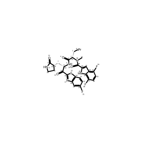 CC(C)C[C@@H](C(=O)N[C@@H](C[C@@H]1CCNC1=O)C(=O)c1nc2cc(F)ccc2s1)N(C)C(=O)c1cc2c(F)ccc(F)c2[nH]1